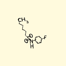 CCCCCCS(=O)(=O)Nc1ccc(F)cc1